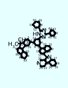 CC1(C)c2ccc(-c3cc(-c4ccc(-c5nc6ccccc6c6ccncc56)c5ccccc45)cc(C4N=C(c5ccccc5)N=C(c5ccccc5)N4)c3)cc2-c2c1ccc1ccccc21